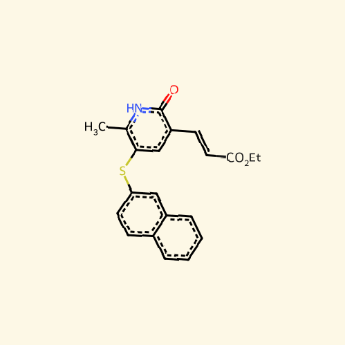 CCOC(=O)C=Cc1cc(Sc2ccc3ccccc3c2)c(C)[nH]c1=O